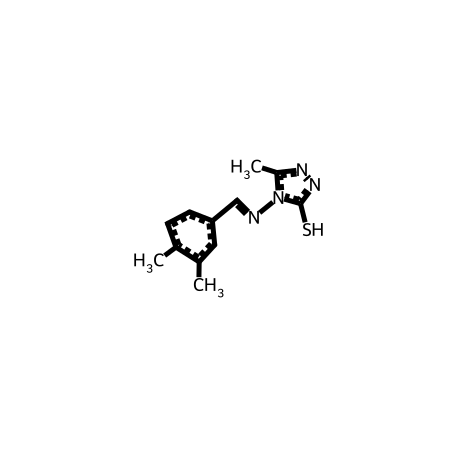 Cc1ccc(C=Nn2c(C)nnc2S)cc1C